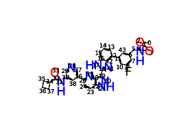 CS(=O)(=O)NCc1cc(F)cc(-c2cccc3[nH]c(-c4n[nH]c5ccc(-c6cncc(NC(=O)C7CCC7)c6)nc45)nc23)c1